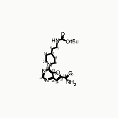 CC(C)(C)OC(=O)NCCC1CCN(c2ncnc3cc(C(N)=O)oc23)CC1